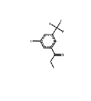 CCC(=O)c1cc(Cl)cc(C(F)(F)F)c1